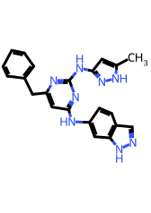 Cc1cc(Nc2nc(Cc3ccccc3)cc(Nc3ccc4cn[nH]c4c3)n2)n[nH]1